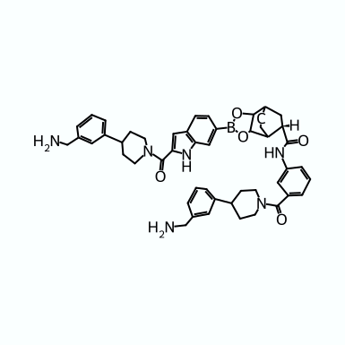 NCc1cccc(C2CCN(C(=O)c3cccc(NC(=O)[C@H]4CC5CCC4C4OB(c6ccc7cc(C(=O)N8CCC(c9cccc(CN)c9)CC8)[nH]c7c6)OC54)c3)CC2)c1